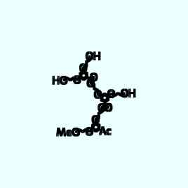 COCCCOc1cc(OCCCOC(=O)c2cc(OCCCO)cc(OCCCOC(=O)c3cc(OCCCO)cc(OCCCO)c3)c2)cc(C(C)=O)c1